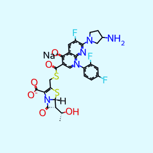 C[C@@H](O)[C@@H]1C(=O)N2C(C(=O)[O-])=C(CSC(=O)c3cn(-c4ccc(F)cc4F)c4nc(N5CCC(N)C5)c(F)cc4c3=O)S[C@H]12.[Na+]